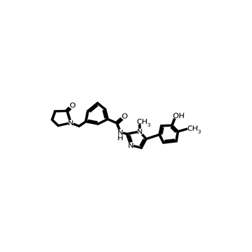 Cc1ccc(-c2cnc(NC(=O)c3cccc(CN4CCCC4=O)c3)n2C)cc1O